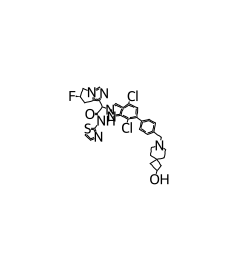 O=C(Nc1nccs1)C(c1ncn2c1C[C@@H](F)C2)n1cc2c(Cl)cc(-c3ccc(CN4CCC5(CC4)CC(O)C5)cc3)c(Cl)c2n1